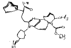 COC(=O)N1c2ccc3c(nc(CC(C(=O)O)c4ccccc4)n3C3CCC(O)CC3)c2CCC1C